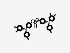 Cc1ccc(N(c2ccc(OBOc3ccc(N(c4ccc(C)cc4)c4ccc(C)c(C)c4)cc3)cc2)c2ccc(C)c(C)c2)cc1